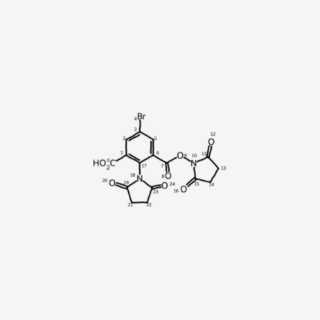 O=C(O)c1cc(Br)cc(C(=O)ON2C(=O)CCC2=O)c1N1C(=O)CCC1=O